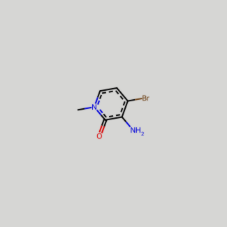 Cn1ccc(Br)c(N)c1=O